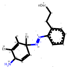 CCCCCCCCCCCCc1ccccc1/N=N/C1(CC)C=CC(N)C(CC)=C1C